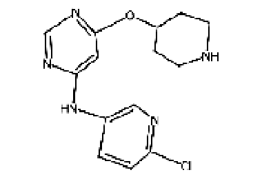 Clc1ccc(Nc2cc(OC3CCNCC3)ncn2)cn1